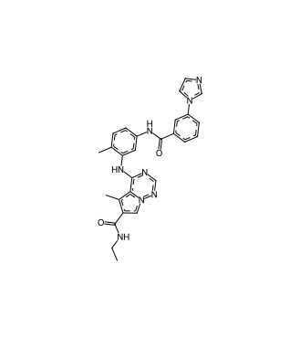 CCNC(=O)c1cn2ncnc(Nc3cc(NC(=O)c4cccc(-n5ccnc5)c4)ccc3C)c2c1C